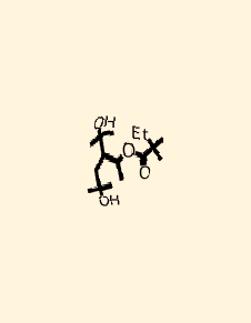 CCC(C)(C)C(=O)OC(C)C(CC(C)(C)O)C(C)(C)O